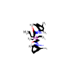 CCCC(C(=O)Nc1c(C)cc(C)cc1C)[PH](CC)(CC)CC(=O)Nc1c(C)cccc1C